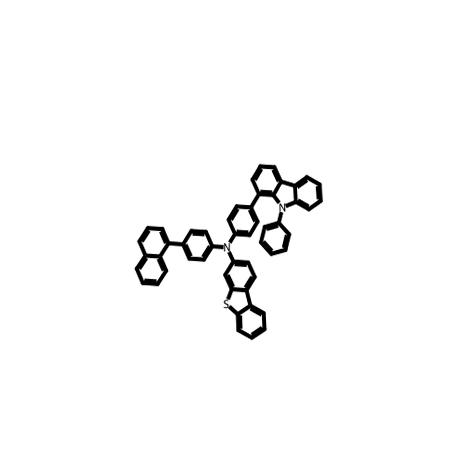 c1ccc(-n2c3ccccc3c3cccc(-c4ccc(N(c5ccc(-c6cccc7ccccc67)cc5)c5ccc6c(c5)sc5ccccc56)cc4)c32)cc1